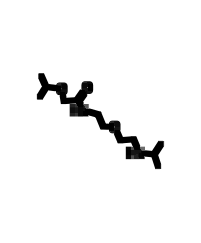 CC(C)NCCOCCNC(=O)COC(C)C